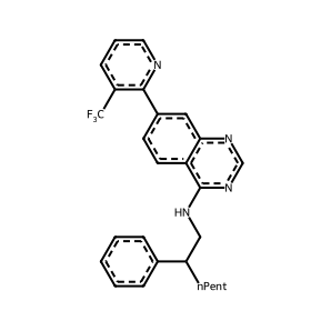 CCCCCC(CNc1ncnc2cc(-c3ncccc3C(F)(F)F)ccc12)c1ccccc1